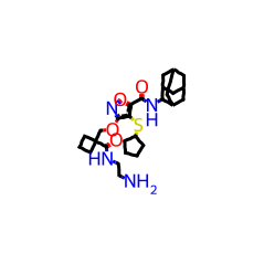 NCCNC(=O)C1(COc2noc(C(=O)NC3C4CC5CC(C4)CC3C5)c2SC2CCCC2)CCC1